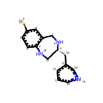 Brc1ccc2c(c1)CN[C@H](Cc1cccnc1)CN2